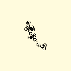 COc1cc2c(cc1OC)CN(CCc1ccc(NC(=O)c3ccc(C=c4[nH]c(=O)c(=Cc5ccco5)n(C)c4=O)cc3)cc1)CC2